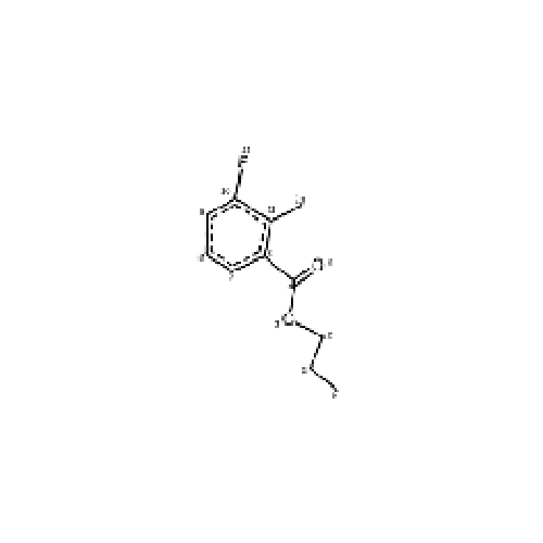 CCCOC(=O)c1cccc(F)c1C